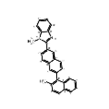 Cc1ccc2ccccc2c1-c1ccc2cc(-c3nc4ccccc4n3C)ccc2c1